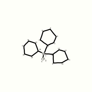 FC(F)(F)[Si](C1CCCCC1)(C1CCCCC1)C1CCCCC1